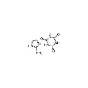 Nc1ncc[nH]1.O=c1[nH]c(=O)[nH]c(=O)[nH]1